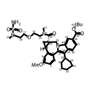 COc1ccc2c(c1)[C@H]1C[C@@]1(C(=O)N(C)CCOCCN(C)S(N)(=O)=O)Cn1c-2c(C2CCCCC2)c2ccc(C(=O)OC(C)(C)C)cc21